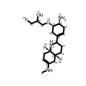 CNC1=CC[C@@H]2NC(C3=CC[C@H](N)[C@H](OCC(O)CF)C3)CC[C@@H]2C1